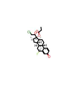 CCC(=O)O[C@@]1(C(=O)CCl)[C@@H](C)C[C@H]2[C@@H]3C[C@H](F)C4=CC(=O)C=C[C@]4(C)[C@H]3CC[C@@]21C